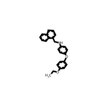 CCOc1ccc(Oc2ccc(NCc3cccc4ccccc34)cc2)cc1